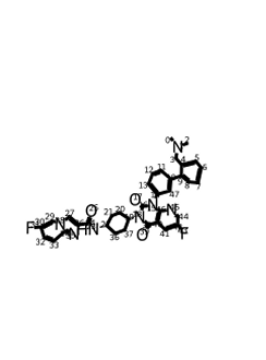 CN(C)Cc1ccccc1-c1cccc(-n2c(=O)n([C@H]3CC[C@@H](NC(=O)c4cn5cc(F)ccc5n4)CC3)c(=O)c3cc(F)cnc32)c1